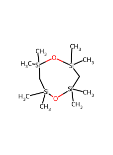 C[Si]1(C)C[Si](C)(C)O[Si](C)(C)C[Si](C)(C)O1